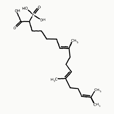 CC(C)=CCCC(C)=CCCC(C)=CCCCCC(C(=O)O)P(=O)(O)O